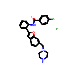 Cl.O=C(Nc1ccccc1-c1cc2ccc(CN3CCNCC3)cc2o1)c1ccc(Br)cc1